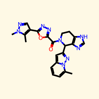 Cc1c(-c2nnc(C(=O)N3CCc4[nH]cnc4C3c3cc4cccc(C)n4n3)o2)cnn1C